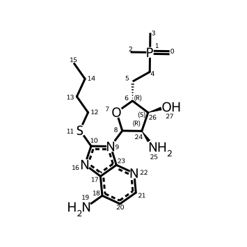 C=P(C)(C)CC[C@H]1OC(n2c(SCCCC)nc3c(N)ccnc32)[C@H](N)[C@@H]1O